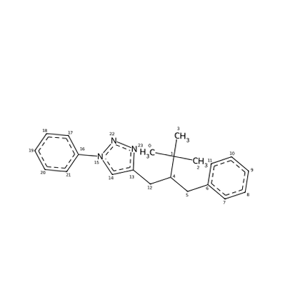 CC(C)(C)C(Cc1ccccc1)Cc1cn(-c2ccccc2)nn1